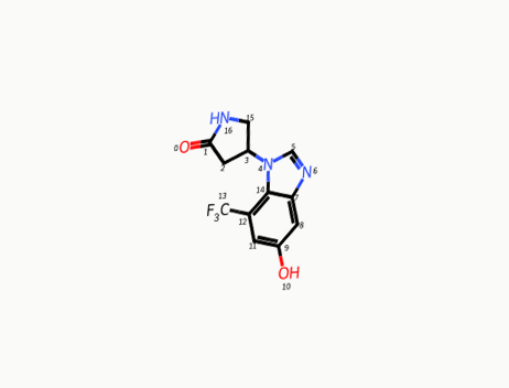 O=C1CC(n2cnc3cc(O)cc(C(F)(F)F)c32)CN1